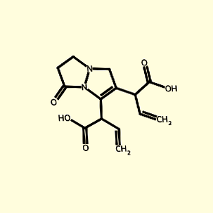 C=CC(C(=O)O)C1=C(C(C=C)C(=O)O)N2C(=O)CCN2C1